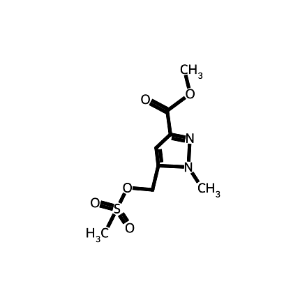 COC(=O)c1cc(COS(C)(=O)=O)n(C)n1